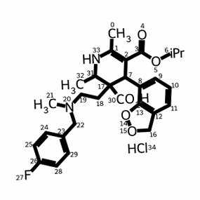 CC1=C(C(=O)OC(C)C)C(c2cccc3c2OOC3)C(CCN(C)Cc2ccc(F)cc2)(C(=O)O)C(C)N1.Cl